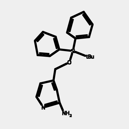 CC(C)(C)[Si](OCc1ccnc(N)c1)(c1ccccc1)c1ccccc1